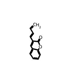 C=CC=Cc1cc2ccccc2oc1=O